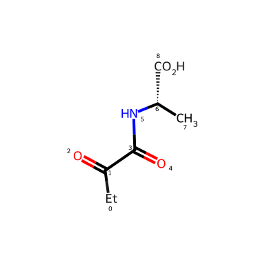 CCC(=O)C(=O)N[C@@H](C)C(=O)O